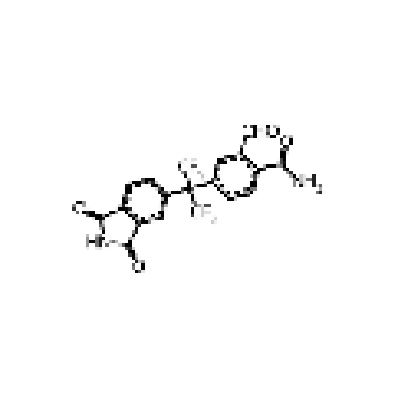 NC(=O)c1ccc(C(c2ccc3c(c2)C(=O)NC3=O)(C(F)(F)F)C(F)(F)F)cc1C=O